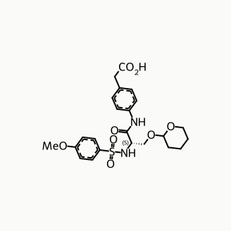 COc1ccc(S(=O)(=O)N[C@@H](COC2CCCCO2)C(=O)Nc2ccc(CC(=O)O)cc2)cc1